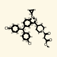 COC(=O)CC(=O)N1CCC(c2nn(C3CC3)c3ccc(C(c4ccc(Cl)cc4)c4ccc(Cl)cc4)cc23)CC1